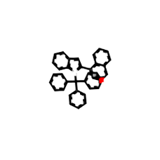 c1ccc(C(c2ccccc2)(c2ccccc2)n2c(-c3cccc4ccccc34)cc3ccccc32)cc1